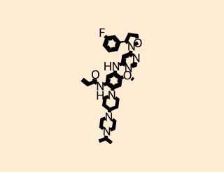 C=CC(=O)Nc1cc(Nc2cc(N3OCC[C@@H]3c3cccc(F)c3)ncn2)c(OC)cc1N1CCC(N2CCN(C(C)C)CC2)CC1